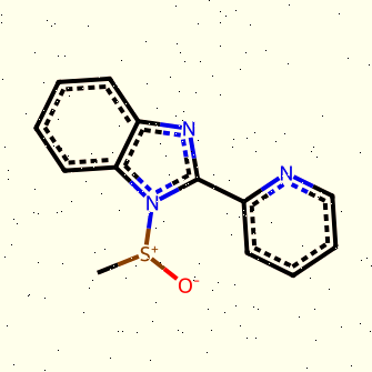 C[S+]([O-])n1c(-c2ccccn2)nc2ccccc21